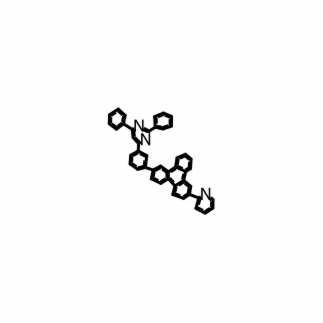 c1ccc(-c2cc(-c3cccc(-c4ccc5c6ccc(-c7ccccn7)cc6c6ccccc6c5c4)c3)nc(-c3ccccc3)n2)cc1